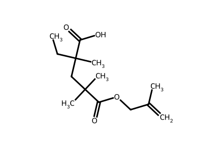 C=C(C)COC(=O)C(C)(C)CC(C)(CC)C(=O)O